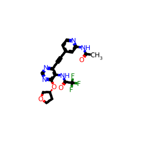 CC(=O)Nc1cc(C#Cc2ncnc(O[C@H]3CCOC3)c2NC(=O)C(F)(F)F)ccn1